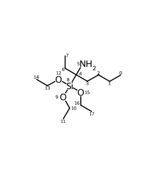 CCCCC(N)(CC)[Si](OCC)(OCC)OCC